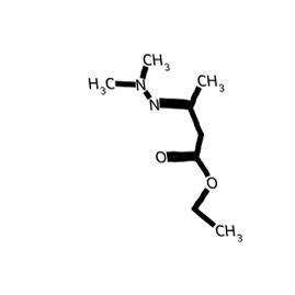 CCOC(=O)CC(C)=NN(C)C